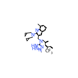 C=C/C(=C\C(=C)CN(Cc1cc2cccc(C)c2nc1N(CC1CC1)CC1CC1)C1=NN(C)NN1)C(F)(F)F